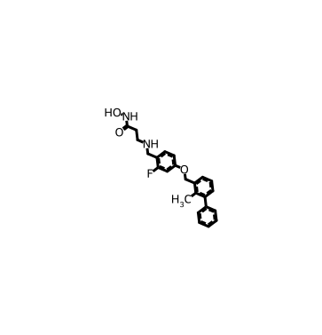 Cc1c(COc2ccc(CNCCC(=O)NO)c(F)c2)cccc1-c1ccccc1